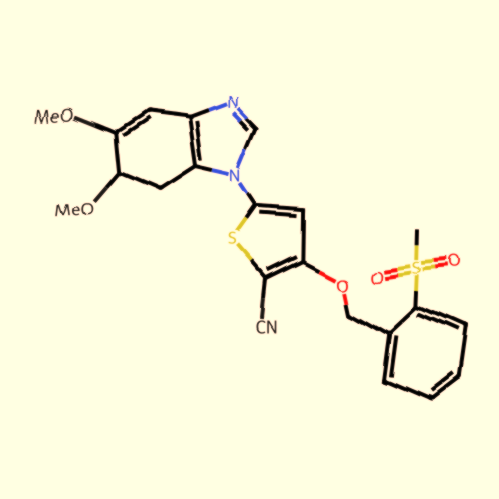 COC1=Cc2ncn(-c3cc(OCc4ccccc4S(C)(=O)=O)c(C#N)s3)c2CC1OC